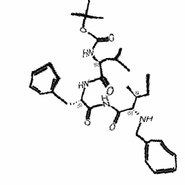 CC[C@H](C)[C@H](NCc1ccccc1)C(=O)NC(=O)[C@H](Cc1ccccc1)NC(=O)[C@@H](NC(=O)OC(C)(C)C)C(C)C